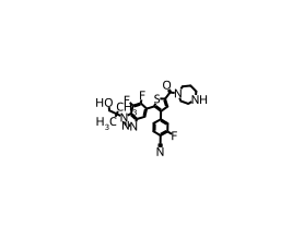 CC(C)(CO)n1nnc2cc(-c3sc(C(=O)N4CCCNCC4)cc3-c3ccc(C#N)c(F)c3)c(F)c(F)c21